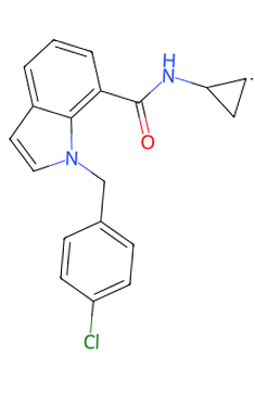 O=C(NC1[CH]C1)c1cccc2ccn(Cc3ccc(Cl)cc3)c12